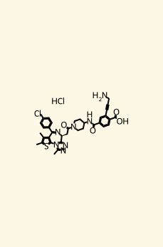 Cc1sc2c(c1C)C(c1ccc(Cl)cc1)=N[C@@H](CC(=O)N1CCC(NC(=O)c3ccc(C(=O)O)c(C#CCN)c3)CC1)c1nnc(C)n1-2.Cl